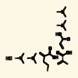 C=C(C)C(=O)O.C=C(CCC)C(=O)O.C=CC(=O)O.CN(C)C.CN(C)C.CN(C)C.CN(C)C.Cl